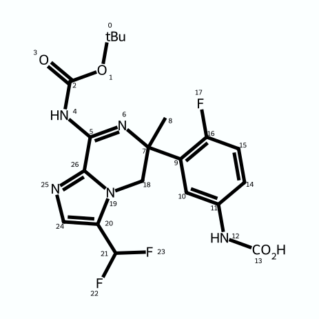 CC(C)(C)OC(=O)NC1=NC(C)(c2cc(NC(=O)O)ccc2F)Cn2c(C(F)F)cnc21